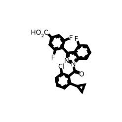 O=C(O)c1cc(F)c(-c2nn(C(=O)c3c(Cl)cccc3C3CC3)c3cccc(F)c23)c(F)c1